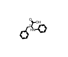 O=C(O)[C@H](Cc1ccccc1)Nc1cc[c]cc1